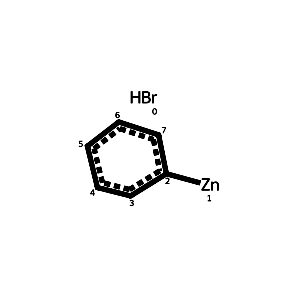 Br.[Zn][c]1ccccc1